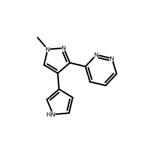 Cn1cc(-c2cc[nH]c2)c(-c2cccnn2)n1